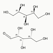 O=C[C@H](O)[C@@H](O)[C@H](O)CO.OC[C@@H](O)[C@H](O)[C@@H](O)CO